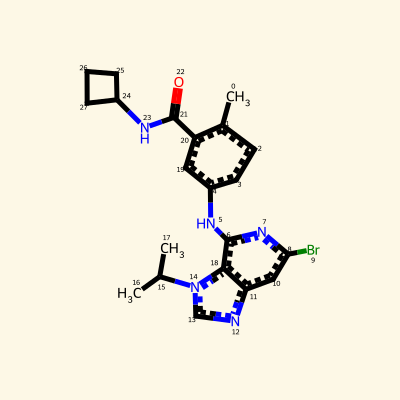 Cc1ccc(Nc2nc(Br)cc3ncn(C(C)C)c23)cc1C(=O)NC1CCC1